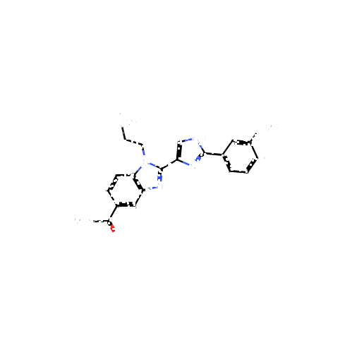 CNC(=O)c1ccc2c(c1)nc(-c1c[nH]c(-c3cccc(OC)c3)n1)n2CCOC